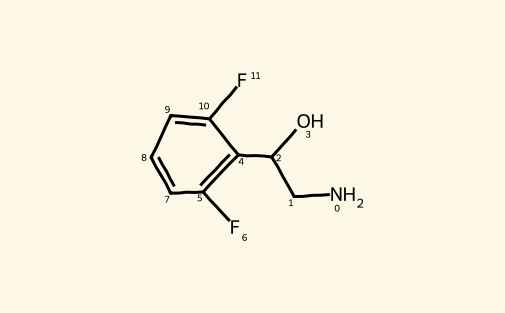 NCC(O)c1c(F)cccc1F